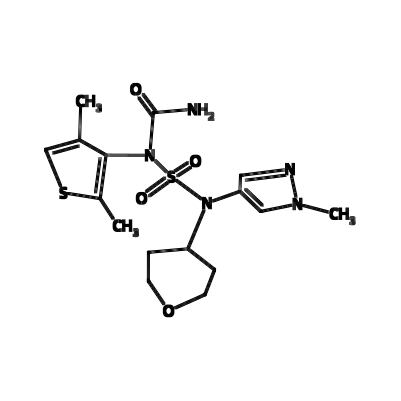 Cc1csc(C)c1N(C(N)=O)S(=O)(=O)N(c1cnn(C)c1)C1CCOCC1